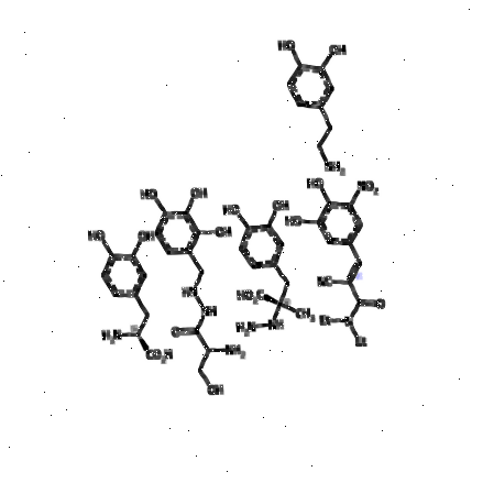 CCN(CC)C(=O)/C(C#N)=C/c1cc(O)c(O)c([N+](=O)[O-])c1.C[C@@](Cc1ccc(O)c(O)c1)(NN)C(=O)O.NC(CO)C(=O)NNCc1ccc(O)c(O)c1O.NCCc1ccc(O)c(O)c1.N[C@@H](Cc1ccc(O)c(O)c1)C(=O)O